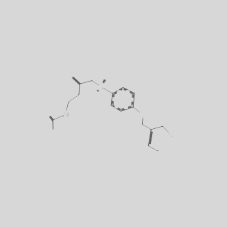 C=C(CCNC(=O)C(C)(C)C)CS(=O)(=O)c1ccc(OC/C(=C/F)CN)cc1